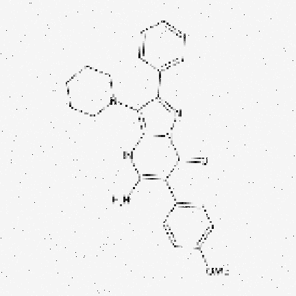 COc1ccc(-c2c(N)[nH]c3c(N4CCCCC4)c(-c4ccccc4)nn3c2=O)cc1